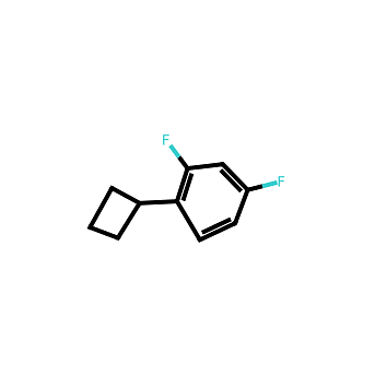 Fc1ccc([C]2CCC2)c(F)c1